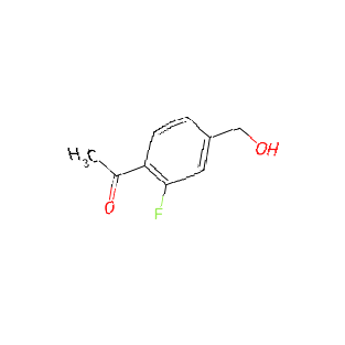 CC(=O)c1ccc(CO)cc1F